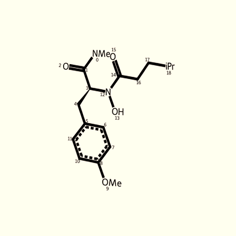 CNC(=O)[C@H](Cc1ccc(OC)cc1)N(O)C(=O)CCC(C)C